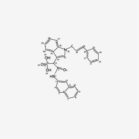 O=C(Nc1ccc2ccccc2c1)C(c1cn(C/C=C/c2ccccc2)c2ccccc12)P(=O)(O)O